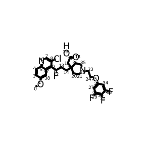 COc1ccc2ncc(Cl)c([C@@H](F)CCC3(CC(=O)O)CCN(CCOc4cc(F)c(F)c(F)c4)CC3)c2c1